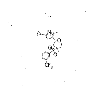 Cn1nc(C2CC2)cc1C1CC(C)(S(=O)(=O)c2cccc(C(F)(F)F)c2)CCO1